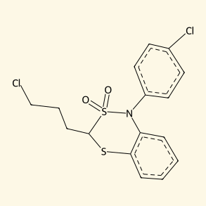 O=S1(=O)C(CCCCl)Sc2ccccc2N1c1ccc(Cl)cc1